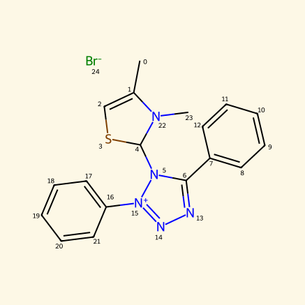 CC1=CSC(n2c(-c3ccccc3)nn[n+]2-c2ccccc2)N1C.[Br-]